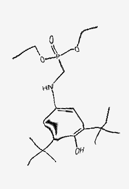 CCOP(=O)(CNc1cc(C(C)(C)C)c(O)c(C(C)(C)C)c1)OCC